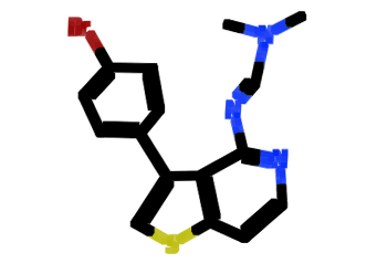 CN(C)C=Nc1nccc2scc(-c3ccc(Br)cc3)c12